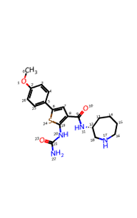 COc1ccc(-c2cc(C(=O)N[C@@H]3CCCCNC3)c(NC(N)=O)s2)cc1